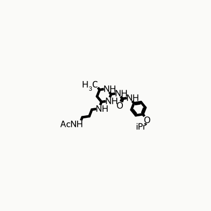 CC(=O)NCCCNC1CC(C)NC(NC(=O)Nc2ccc(OC(C)C)cc2)N1